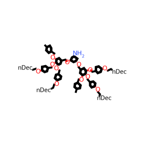 CCCCCCCCCCCCOc1ccc(COc2cc(COc3cc(N)cc(OCc4cc(OCc5ccc(C)cc5)c(OCc5ccc(OCCCCCCCCCCCC)cc5)c(OCc5ccc(OCCCCCCCCCCCC)cc5)c4)c3)cc(OCc3ccc(C)cc3)c2OCc2ccc(OCCCCCCCCCCCC)cc2)cc1